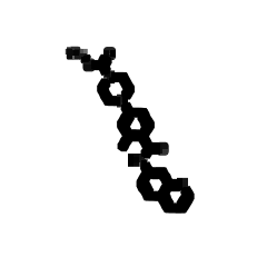 Cc1cc(N2CCN(C(=O)OC(C)(C)C)CC2)ccc1C(=O)Nc1ccc2cccnc2c1